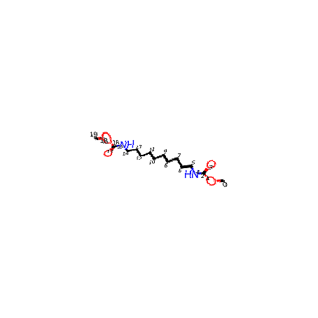 COC(=O)NCCCCCCCCCCNC(=O)OC